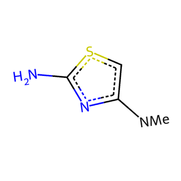 CNc1csc(N)n1